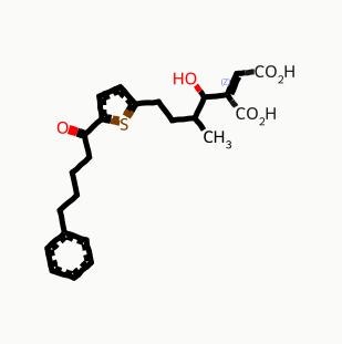 CC(CCc1ccc(C(=O)CCCCc2ccccc2)s1)C(O)/C(=C/C(=O)O)C(=O)O